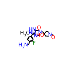 CN/C(=C1/N=CN(CC2(O)CCN(C=O)CC2)C(=O)C1=N)c1ccc(CN)c(F)c1